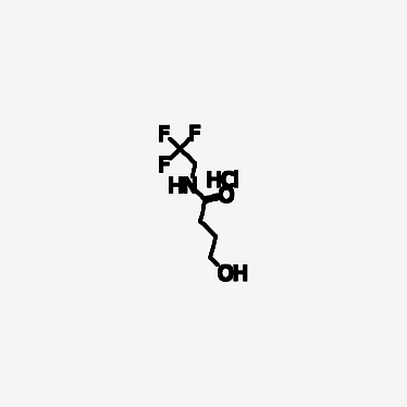 Cl.O=C(CCCO)NCC(F)(F)F